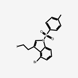 Cc1ccc(S(=O)(=O)n2cc(CCI)c3c(Br)cccc32)cc1